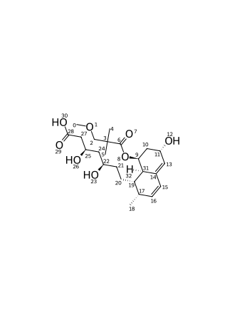 COCC(C)(C)C(=O)O[C@H]1C[C@H](O)C=C2C=C[C@H](C)[C@H](CC[C@@H](O)C[C@@H](O)CC(=O)O)[C@H]21